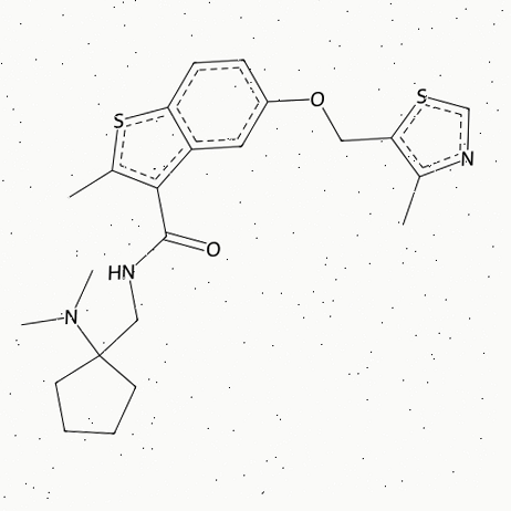 Cc1ncsc1COc1ccc2sc(C)c(C(=O)NCC3(N(C)C)CCCC3)c2c1